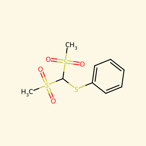 CS(=O)(=O)C(Sc1ccccc1)S(C)(=O)=O